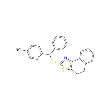 N#Cc1ccc(C(Sc2nc3c(s2)CCc2[c]cccc2-3)c2ccccc2)cc1